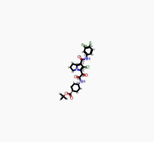 CC(C)(C)OC(=O)[C@H]1CC[C@@H](NC(=O)C(=O)c2c(Cl)c(C(=O)Nc3ccc(F)c(F)c3)c3n2CCC3)CC1